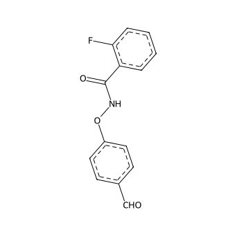 O=Cc1ccc(ONC(=O)c2ccccc2F)cc1